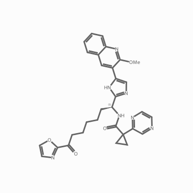 COc1nc2ccccc2cc1-c1cnc([C@H](CCCCCC(=O)c2ncco2)NC(=O)C2(c3cnccn3)CC2)[nH]1